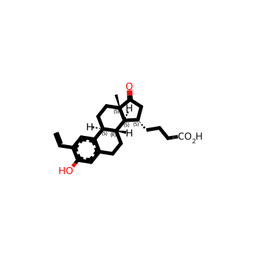 C=Cc1cc2c(cc1O)CC[C@H]1[C@@H]3[C@@H](CCCC(=O)O)CC(=O)[C@@]3(C)CC[C@H]21